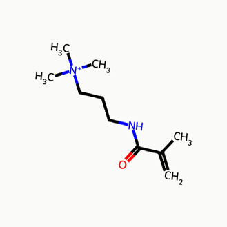 C=C(C)C(=O)NCCC[N+](C)(C)C